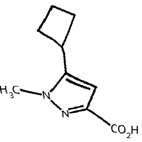 Cn1nc(C(=O)O)cc1C1CCC1